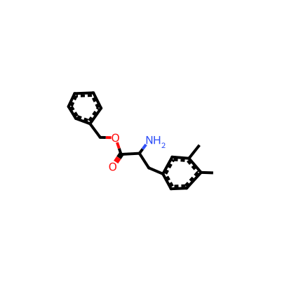 Cc1ccc(CC(N)C(=O)OCc2ccccc2)cc1C